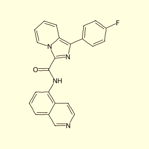 O=C(Nc1cccc2cnccc12)c1nc(-c2ccc(F)cc2)c2ccccn12